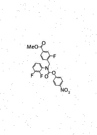 COC(=O)c1ccc(CN(C(=O)Oc2ccc([N+](=O)[O-])cc2)c2cccc(F)c2F)c(F)c1